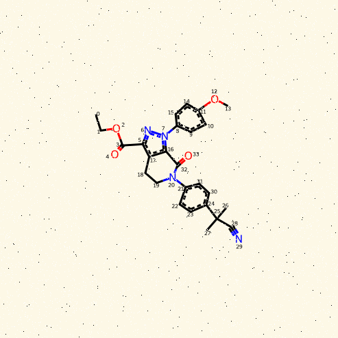 CCOC(=O)c1nn(-c2ccc(OC)cc2)c2c1CCN(c1ccc(C(C)(C)C#N)cc1)C2=O